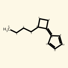 CCCCC1CCC1=C1C=CC=C1